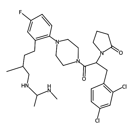 CNC(C)NCC(C)CCc1cc(F)ccc1N1CCN(C(=O)C(Cc2ccc(Cl)cc2Cl)N2CCCC2=O)CC1